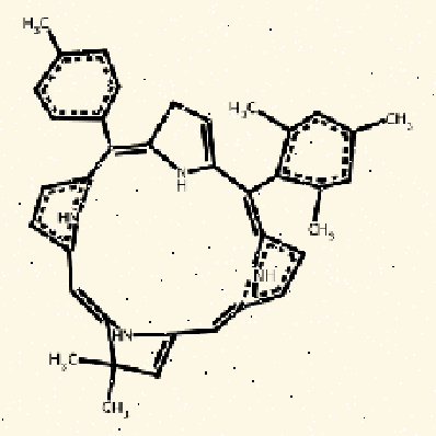 Cc1ccc(C2=C3CC=C(N3)C(c3c(C)cc(C)cc3C)=c3ccc([nH]3)=CC3=CC(C)(C)C(=Cc4ccc2[nH]4)N3)cc1